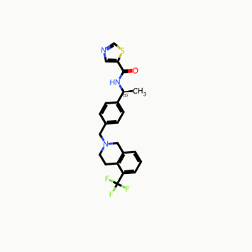 C[C@H](NC(=O)c1cncs1)c1ccc(CN2CCc3c(cccc3C(F)(F)F)C2)cc1